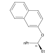 [CH2]C[C@@H](CCC)Oc1ccc2ccccc2c1